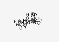 CC(C)OC(=O)[C@@H](C)N[P@](=O)(OC[C@H]1O[C@@H](n2cnc3c(=O)[nH]c(N)nc32)[C@H](N)[C@@H]1O)Oc1ccccc1